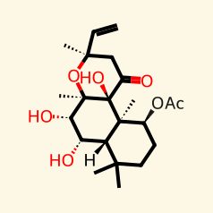 C=C[C@@]1(C)CC(=O)[C@]2(O)[C@@]3(C)[C@@H](OC(C)=O)CCC(C)(C)[C@@H]3[C@H](O)[C@H](O)[C@@]2(C)O1